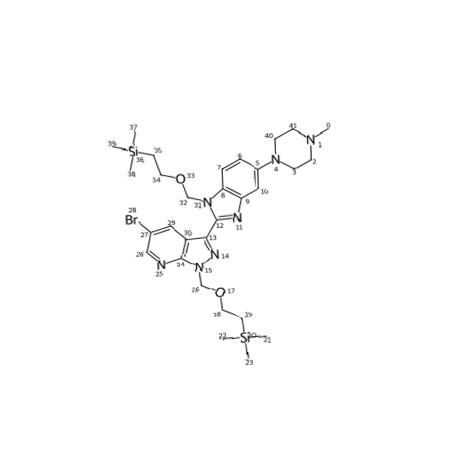 CN1CCN(c2ccc3c(c2)nc(-c2nn(COCC[Si](C)(C)C)c4ncc(Br)cc24)n3COCC[Si](C)(C)C)CC1